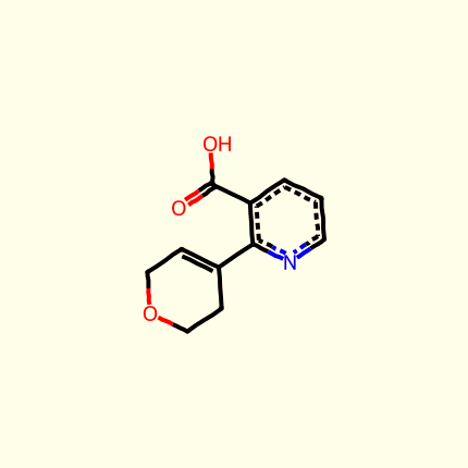 O=C(O)c1cccnc1C1=CCOCC1